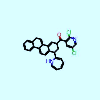 O=C(c1cc(Cl)cnc1Cl)C1C=c2c(ccc3c2=CCc2ccccc2-3)C(C2=CC=CC=CN2)C1